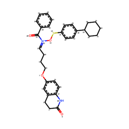 O=C1CCc2cc(OCCCC=[N+](OSc3ccc(C4CCCCC4)cc3)C(=O)c3ccccc3)ccc2N1